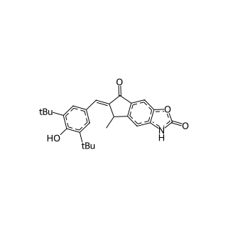 CC1/C(=C\c2cc(C(C)(C)C)c(O)c(C(C)(C)C)c2)C(=O)c2cc3oc(=O)[nH]c3cc21